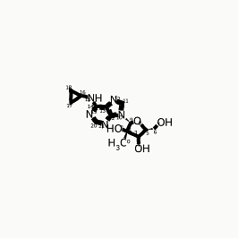 C[C@]1(O)C(O)[C@@H](CO)O[C@H]1n1cnc2c(NC3CC3)ncnc21